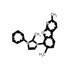 Cc1ccc2c(n1)oc1c(N3C=CN(c4ccccc4)C3C)c(C)ccc12